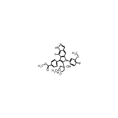 CC[C@@](O)(COC)c1c(-c2ccc(C(=O)OC)cc2)c2c(F)c3[nH]ncc3cc2n1-c1ccc(F)c(OC)c1